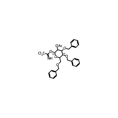 CC(=O)OC1C(OCc2ccccc2)[C@@H](OCc2ccccc2)C(COCc2ccccc2)O[C@H]1OC(=N)C(Cl)(Cl)Cl